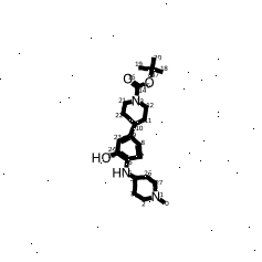 CN1CCC(Nc2ccc(C3CCN(C(=O)OC(C)(C)C)CC3)cc2O)CC1